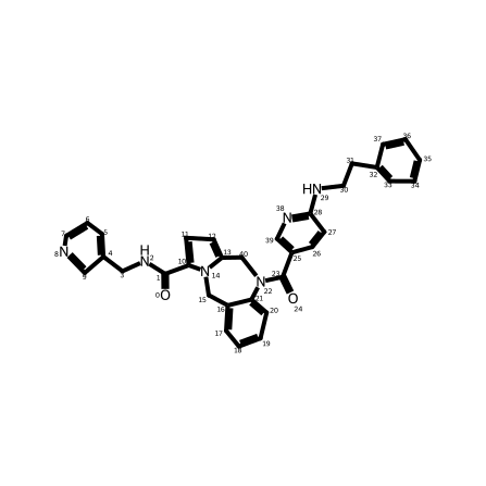 O=C(NCc1cccnc1)c1ccc2n1Cc1ccccc1N(C(=O)c1ccc(NCCc3ccccc3)nc1)C2